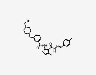 Cc1ccc(C=NNC(=O)c2c(C)csc2NC(=O)c2cccc(CN3CCC(CO)CC3)c2)cc1